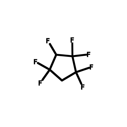 FC1C(F)(F)CC(F)(F)C1(F)F